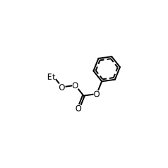 CCOOC(=O)Oc1ccccc1